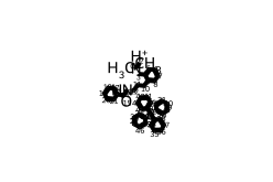 C[NH+](C)Cc1ccccc1CCCNC(=O)c1ccccc1.c1ccc([B-](c2ccccc2)(c2ccccc2)c2ccccc2)cc1